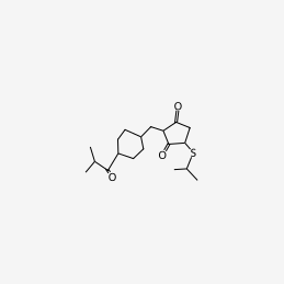 CC(C)SC1CC(=O)C(CC2CCC(C(=O)C(C)C)CC2)C1=O